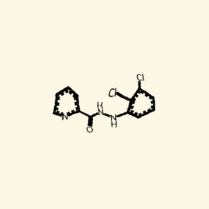 O=C(NNc1cccc(Cl)c1Cl)c1ccccn1